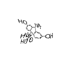 CCCC(c1cccc(O)c1)c1cc(O)ccc1OP(=O)(O)O